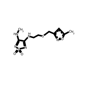 CNC1=NS(=O)(=O)N=C1NCCSCc1cc(C)on1